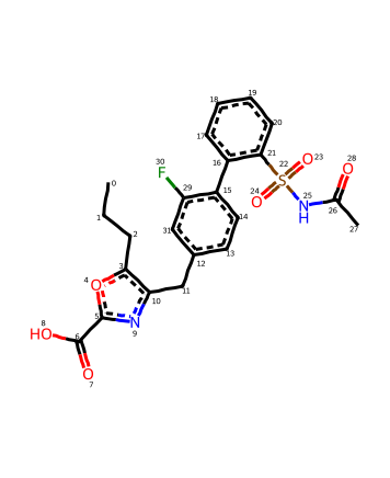 CCCc1oc(C(=O)O)nc1Cc1ccc(-c2ccccc2S(=O)(=O)NC(C)=O)c(F)c1